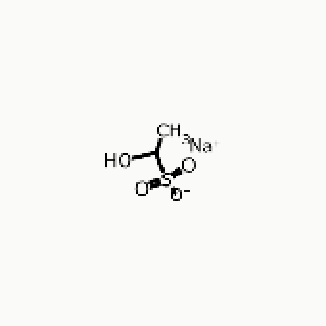 CC(O)S(=O)(=O)[O-].[Na+]